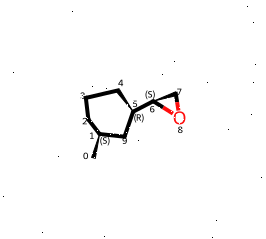 C[C@H]1CCC[C@@H]([C@H]2CO2)C1